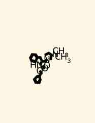 CN(C)C1CCN(C(=O)C(Cc2ccccc2)NC(=O)OCc2ccccc2)C1